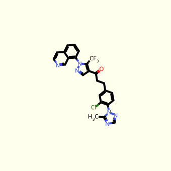 Cc1ncnn1-c1ccc(CCC(=O)c2cnn(-c3cccc4ccncc34)c2C(F)(F)F)cc1Cl